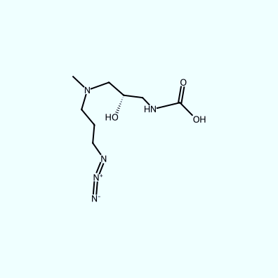 CN(CCCN=[N+]=[N-])C[C@@H](O)CNC(=O)O